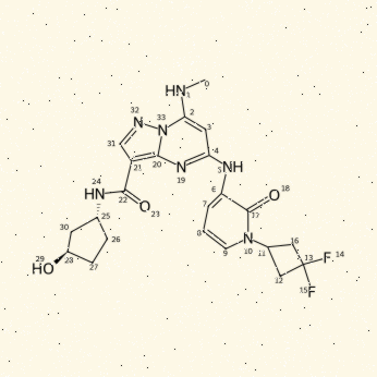 CNc1cc(Nc2cccn(C3CC(F)(F)C3)c2=O)nc2c(C(=O)N[C@@H]3CC[C@@H](O)C3)cnn12